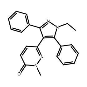 CCn1nc(-c2ccccc2)c(-c2ccc(=O)n(C)n2)c1-c1ccccc1